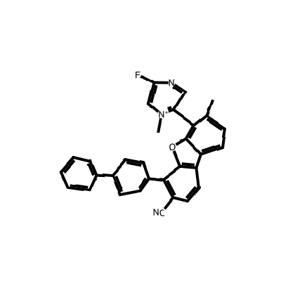 Cc1ccc2c(oc3c(-c4ccc(-c5ccccc5)cc4)c(C#N)ccc32)c1-c1cnc(F)c[n+]1C